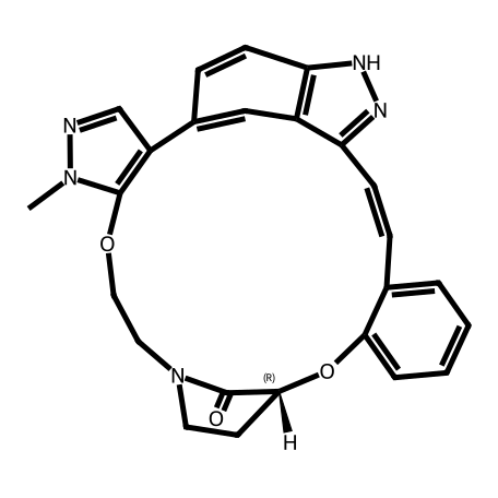 Cn1ncc2c1OCCN1CC[C@@H](Oc3ccccc3C=Cc3n[nH]c4ccc-2cc34)C1=O